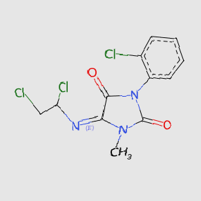 CN1C(=O)N(c2ccccc2Cl)C(=O)/C1=N\C(Cl)CCl